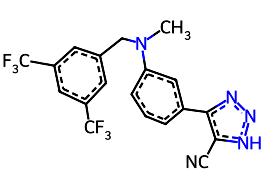 CN(Cc1cc(C(F)(F)F)cc(C(F)(F)F)c1)c1cccc(-c2nn[nH]c2C#N)c1